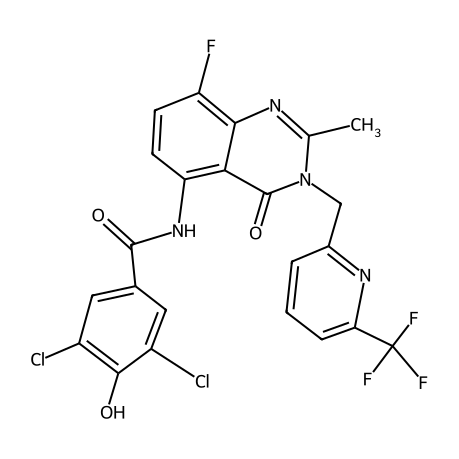 Cc1nc2c(F)ccc(NC(=O)c3cc(Cl)c(O)c(Cl)c3)c2c(=O)n1Cc1cccc(C(F)(F)F)n1